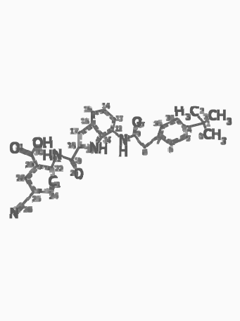 CC(C)(C)c1ccc(CC(=O)Nc2cccc3cc(C(=O)Nc4ccc(C#N)cc4C(=O)O)[nH]c23)cc1